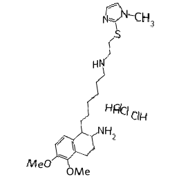 COc1ccc2c(c1OC)CCC(N)C2CCCCCCNCCSc1nccn1C.Cl.Cl.Cl